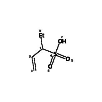 [CH2]CC(C=C)S(=O)(=O)O